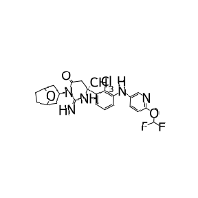 C[C@@]1(c2cccc(Nc3ccc(OC(F)F)nc3)c2Cl)CC(=O)N(C2CC3CCC(C2)O3)C(=N)N1